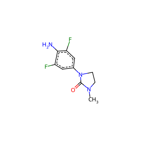 CN1CCN(c2cc(F)c(N)c(F)c2)C1=O